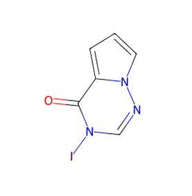 O=c1c2cccn2ncn1I